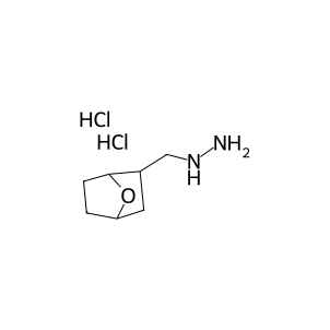 Cl.Cl.NNCC1CC2CCC1O2